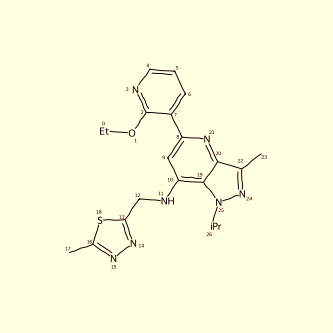 CCOc1ncccc1-c1cc(NCc2nnc(C)s2)c2c(n1)c(C)nn2C(C)C